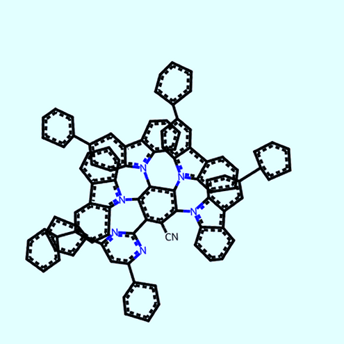 N#Cc1c(-c2nc(-c3ccccc3)cc(-c3ccccc3)n2)c(-n2c3ccccc3c3cc(-c4ccccc4)ccc32)c(-n2c3ccccc3c3cc(-c4ccccc4)ccc32)c(-n2c3ccccc3c3cc(-c4ccccc4)ccc32)c1-n1c2ccccc2c2cc(-c3ccccc3)ccc21